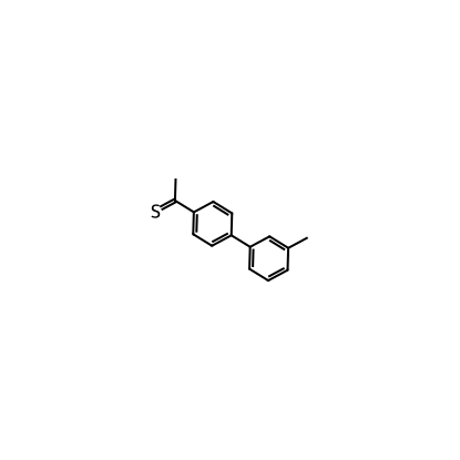 CC(=S)c1ccc(-c2cccc(C)c2)cc1